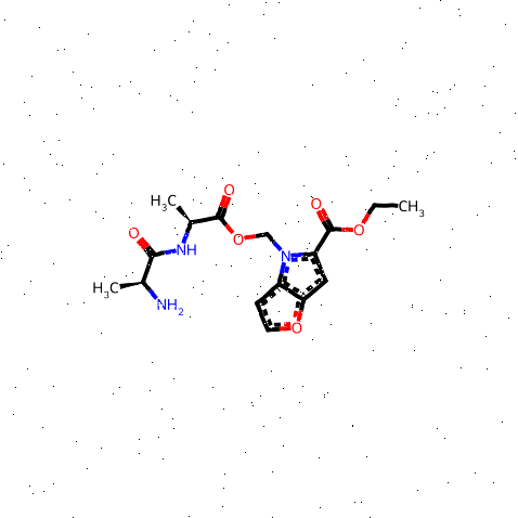 CCOC(=O)c1cc2occc2n1COC(=O)[C@H](C)NC(=O)[C@H](C)N